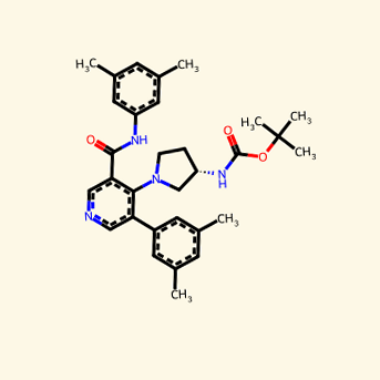 Cc1cc(C)cc(NC(=O)c2cncc(-c3cc(C)cc(C)c3)c2N2CC[C@H](NC(=O)OC(C)(C)C)C2)c1